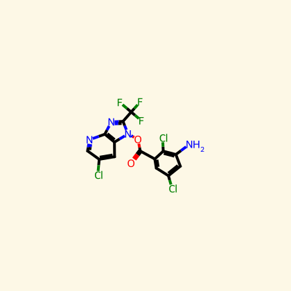 Nc1cc(Cl)cc(C(=O)On2c(C(F)(F)F)nc3ncc(Cl)cc32)c1Cl